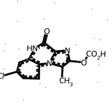 Cc1c(OC(=O)O)nc2c(=O)[nH]c3cc(Cl)ccc3n12